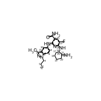 Cc1nn(CCF)c2ccc(Nc3nc(N[C@@H]4CCCC[C@@H]4N)c(F)cc3C(N)=O)cc12